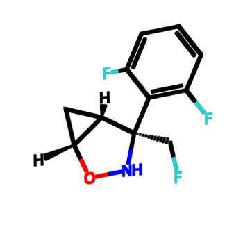 FC[C@]1(c2c(F)cccc2F)NO[C@@H]2C[C@@H]21